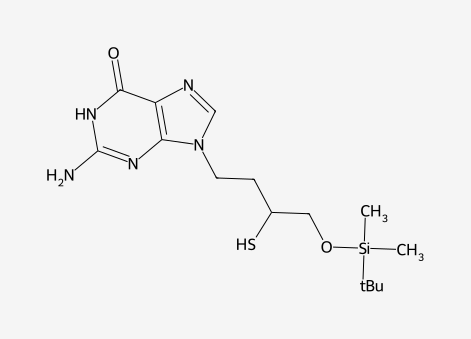 CC(C)(C)[Si](C)(C)OCC(S)CCn1cnc2c(=O)[nH]c(N)nc21